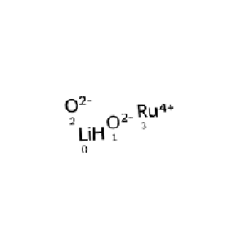 [LiH].[O-2].[O-2].[Ru+4]